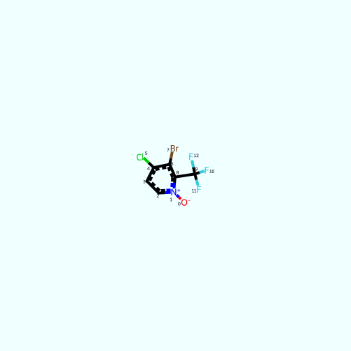 [O-][n+]1ccc(Cl)c(Br)c1C(F)(F)F